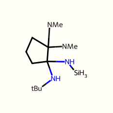 CNC1(NC)CCCC1(N[SiH3])NC(C)(C)C